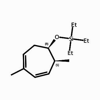 CC[Si](CC)(CC)O[C@@H]1CC=C(C)C=C[C@@H]1C